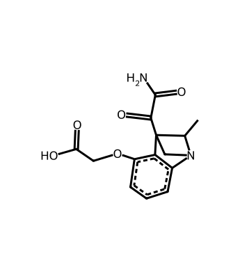 CC1N2CC1(C(=O)C(N)=O)c1c(OCC(=O)O)cccc12